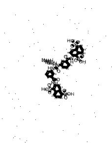 O=C(Nc1cccc(C(=O)Nc2ccc3c(S(=O)(=O)O)cccc3c2S(=O)(=O)O)c1)Nc1cccc(C(=O)Nc2ccc3c(S(=O)(=O)O)cccc3c2S(=O)(=O)O)c1.[NaH].[NaH].[NaH].[NaH]